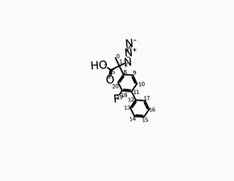 CC(N=[N+]=[N-])(C(=O)O)c1ccc(-c2ccccc2)c(F)c1